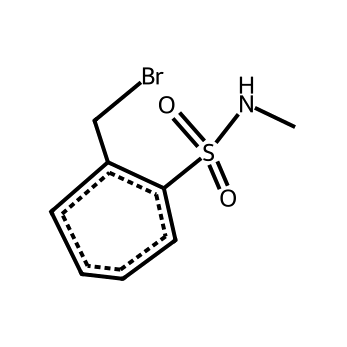 CNS(=O)(=O)c1ccccc1CBr